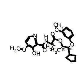 COc1cccc(O[C@H](C2CCCC2)[C@H](C)OC(=O)[C@H](C)NC(=O)c2nccc(OC)c2O)c1